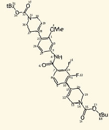 COc1cc(NC(=O)c2ccc(C3=CCN(C(=O)OC(C)(C)C)CC3)c(F)c2F)ccc1C1=CCN(C(=O)OC(C)(C)C)CC1